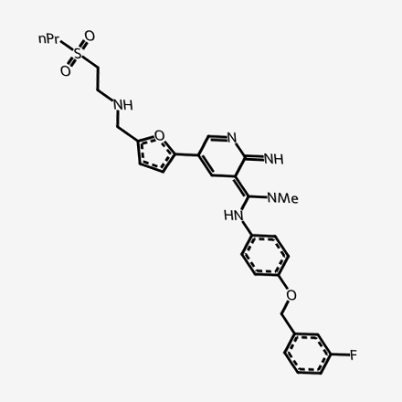 CCCS(=O)(=O)CCNCc1ccc(C2=C/C(=C(/NC)Nc3ccc(OCc4cccc(F)c4)cc3)C(=N)N=C2)o1